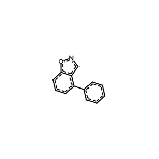 [c]1noc2cccc(-c3ccccc3)c12